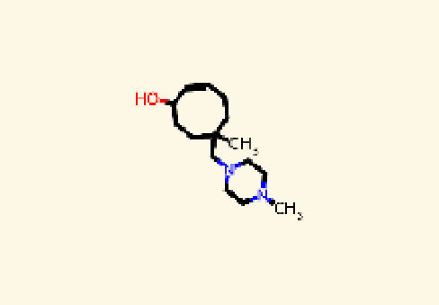 CN1CCN(CC2(C)CC/C=C\C(O)CC2)CC1